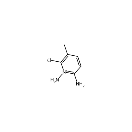 Cc1ccc(N)[n+](N)c1Cl